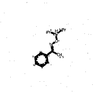 CC(=NO[SiH](C(C)C)C(C)C)c1ccccc1